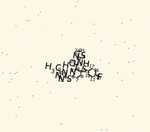 Cc1nnc(Sc2ccc(Sc3ccc(F)cc3)c(C(=O)NC3=NCCS3)n2)[nH]1